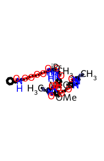 C/C=C/C1=CN2C(=O)c3cc(OC)c(OCCCOc4cc5c(cc4OC)C(=O)N4C=C(/C=C/C)CN4C=N5)cc3N(C(=O)OCc3ccc(NC(=O)C(C)NC(=O)[C@@H](NC(=O)CCOCCOCCOCCOCCNC(=O)CC4CCCCCCC4)C(C)C)cc3)C(O)C2C1